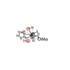 CO[C@@H]1CCC23CC[C@@H](C)[C@](C)(C12)[C@H](O)C[C@@](C)(C1CCCCC1)C(=O)[C@@H]3C